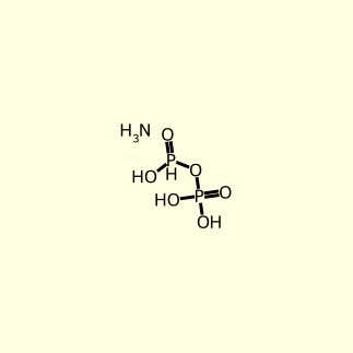 N.O=[PH](O)OP(=O)(O)O